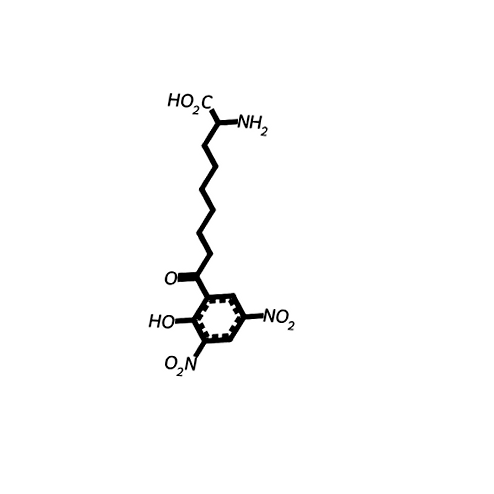 NC(CCCCCCC(=O)c1cc([N+](=O)[O-])cc([N+](=O)[O-])c1O)C(=O)O